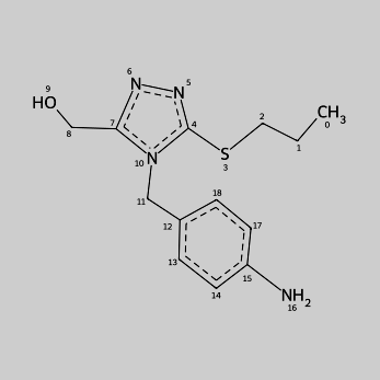 CCCSc1nnc(CO)n1Cc1ccc(N)cc1